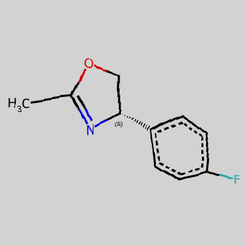 CC1=N[C@@H](c2ccc(F)cc2)CO1